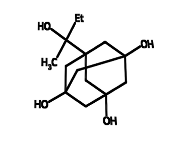 CCC(C)(O)C12CC3(O)CC(O)(CC(O)(C3)C1)C2